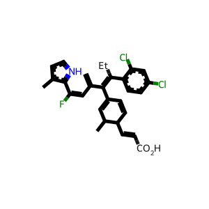 C=C(/C=C(/F)c1[nH]ccc1C)/C(C1=CC(C)C(/C=C/C(=O)O)C=C1)=C(\CC)c1ccc(Cl)cc1Cl